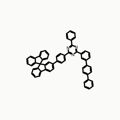 c1ccc(-c2ccc(-c3cccc(-c4nc(-c5ccccc5)nc(-c5ccc(-c6ccc7c(c6)C6(c8ccccc8-c8ccccc86)c6ccccc6-7)cc5)n4)c3)cc2)cc1